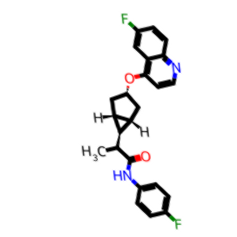 CC(C(=O)Nc1ccc(F)cc1)[C@H]1[C@@H]2C[C@H](Oc3ccnc4ccc(F)cc34)C[C@@H]21